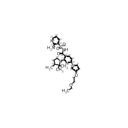 CCOCCOc1ccn(-c2ccc(C(=O)NS(=O)(=O)c3cccnc3N)c(N3CCC(C)C3(C)C)n2)n1